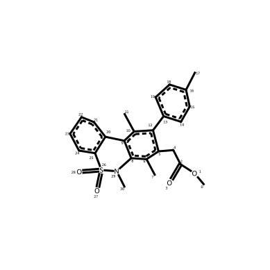 COC(=O)Cc1c(C)c2c(c(C)c1-c1ccc(C)cc1)-c1ccccc1S(=O)(=O)N2C